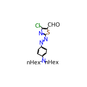 CCCCCCN(CCCCCC)c1ccc(/N=N/c2nc(Cl)c(C=O)s2)cc1